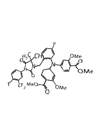 COC(=O)C1=CCC(N(c2ccc(C(=O)OC)c(OC)c2)c2cc(F)ccc2CN2C(=O)N(c3ccc(F)c(C(F)(F)F)c3)C(=O)C2(C)C)C=C1OC